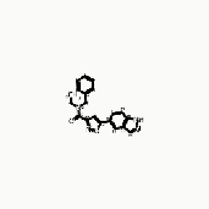 CCN(Cc1ccccc1)C(=O)c1cc(-c2ccc3[nH]ncc3c2)on1